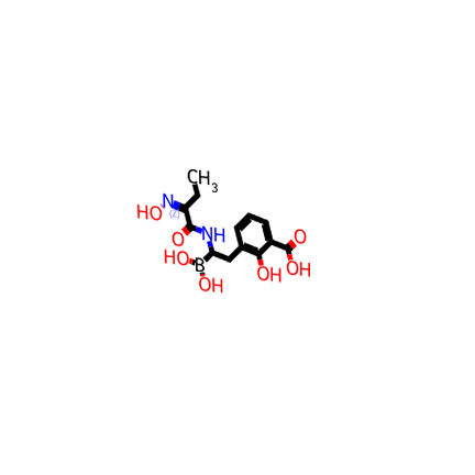 CC/C(=N/O)C(=O)NC(Cc1cccc(C(=O)O)c1O)B(O)O